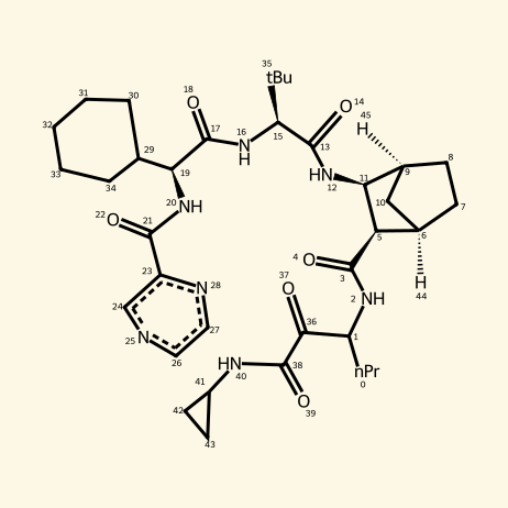 CCCC(NC(=O)[C@@H]1[C@@H]2CC[C@@H](C2)[C@@H]1NC(=O)[C@@H](NC(=O)[C@@H](NC(=O)c1cnccn1)C1CCCCC1)C(C)(C)C)C(=O)C(=O)NC1CC1